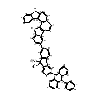 CC1(C)c2ccc(-c3c4ccccc4c(-c4ccccc4)c4ccccc34)cc2-c2ccc(-c3ccc4sc5c(ccc6ccc7sc8ccccc8c7c65)c4c3)cc21